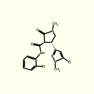 CCc1ccccc1NC(=O)[C@H]1C(=O)N(C)C[C@@H]1c1cc(Cl)n(C)n1